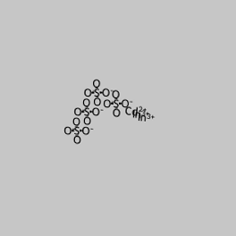 O=S(=O)([O-])[O-].O=S(=O)([O-])[O-].O=S(=O)([O-])[O-].O=S(=O)([O-])[O-].[Cd+2].[In+3].[In+3]